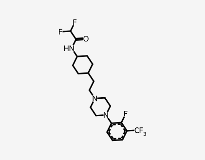 O=C(NC1CCC(CCN2CCN(c3cccc(C(F)(F)F)c3F)CC2)CC1)C(F)F